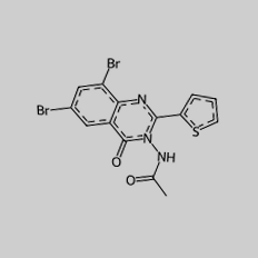 CC(=O)Nn1c(-c2cccs2)nc2c(Br)cc(Br)cc2c1=O